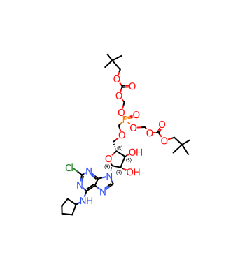 CC(C)(C)COC(=O)OCOP(=O)(COC[C@H]1O[C@@H](n2cnc3c(NC4CCCC4)nc(Cl)nc32)[C@H](O)[C@@H]1O)OCOC(=O)OCC(C)(C)C